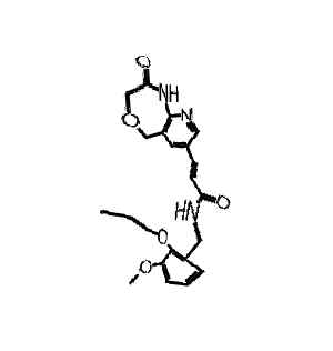 CCCOc1c(CNC(=O)C=Cc2cnc3c(c2)COCC(=O)N3)cccc1OC